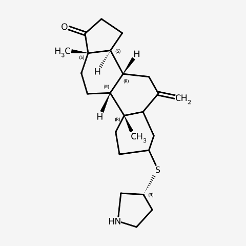 C=C1C[C@@H]2[C@@H](CC[C@]3(C)C(=O)CC[C@@H]23)[C@@]2(C)CCC(S[C@@H]3CCNC3)CC12